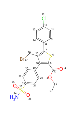 CCOC(=O)c1sc(-c2ccc(Cl)cc2)c(CBr)c1-c1ccc(S(N)(=O)=O)cc1